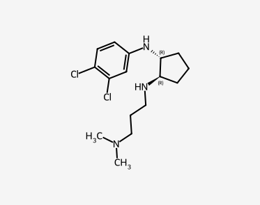 CN(C)CCCN[C@@H]1CCC[C@H]1Nc1ccc(Cl)c(Cl)c1